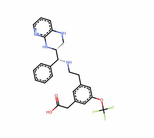 O=C(O)Cc1cc(CCN[C@H](c2ccccc2)[C@H]2CNc3cccnc3N2)cc(OC(F)(F)F)c1